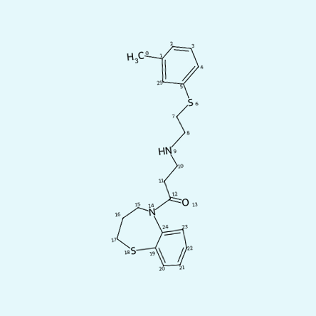 Cc1cccc(SCCNCCC(=O)N2CCCSc3ccccc32)c1